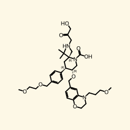 COCCCN1CCOc2ccc(CO[C@H]3CN(C(=O)O)[C@@](CNCC(=O)CO)(C(C)(C)C)C[C@@H]3c3ccc(COCCOC)cc3)cc21